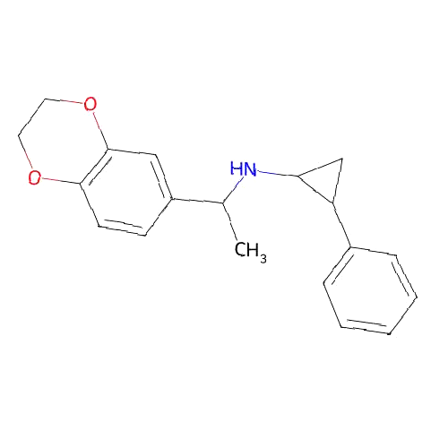 CC(NC1CC1c1ccccc1)c1ccc2c(c1)OCCO2